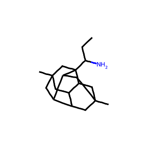 CCC(N)C12CC3(C)CC4C5CC(C)(CC41)CC2C5C3